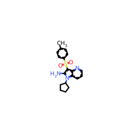 Cc1ccc(S(=O)(=O)c2c(N)n(C3CCCC3)c3cccnc23)cc1